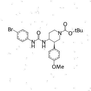 COc1ccc([C@@H]2CN(C(=O)OC(C)(C)C)CCC2NC(=O)Nc2ccc(Br)cc2)cc1